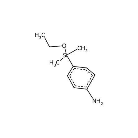 CCO[Si](C)(C)c1ccc(N)cc1